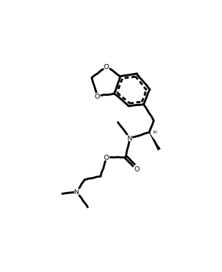 C[C@H](Cc1ccc2c(c1)OCO2)N(C)C(=O)OCCN(C)C